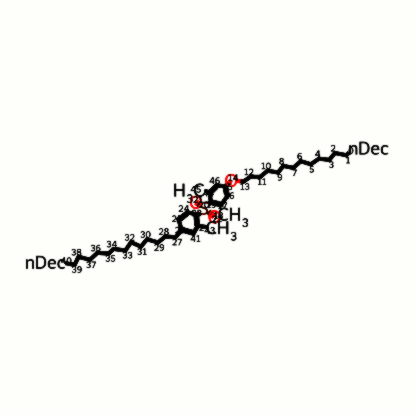 CCCCCCCCCCCCCCCCCCCCCCCOc1cc(C)c(S(=O)(=O)c2ccc(CCCCCCCCCCCCCCCCCCCCCCC)cc2C)c(C)c1